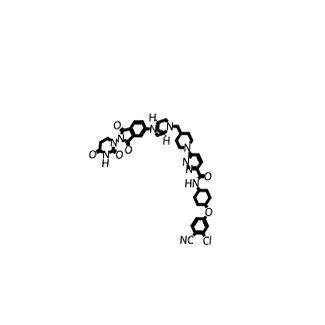 N#Cc1ccc(OC2CCC(NC(=O)c3ccc(N4CCC(CN5C[C@H]6C[C@@H]5CN6c5ccc6c(c5)C(=O)N(N5CCC(=O)NC5=O)C6=O)CC4)nn3)CC2)cc1Cl